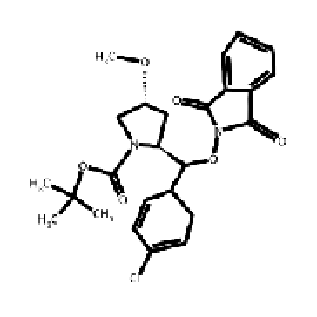 CO[C@@H]1C[C@@H](C(ON2C(=O)c3ccccc3C2=O)C2C=CC(Cl)=CC2)N(C(=O)OC(C)(C)C)C1